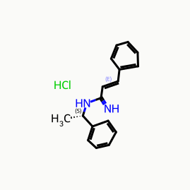 C[C@H](NC(=N)/C=C/c1ccccc1)c1ccccc1.Cl